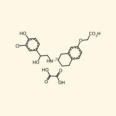 O=C(O)C(=O)O.O=C(O)COc1ccc2c(c1)C[C@@H](NCC(O)c1ccc(O)c(Cl)c1)CC2